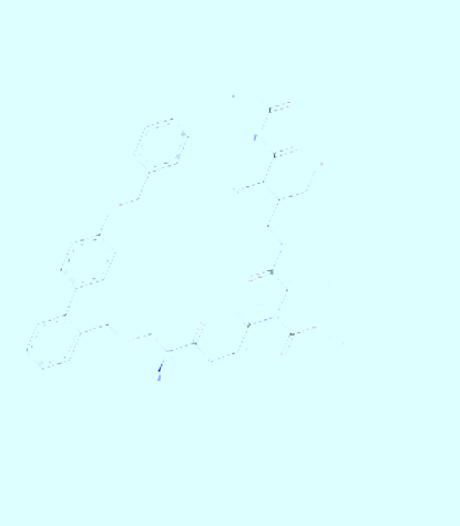 CCCCCC(=O)NC(=O)C(N)C(CO)CNC(=O)[C@H](C)N(C(=O)OC(C)(C)C)C(=O)[C@H](C)NC(=O)[C@@H](N)COCc1ccccc1-c1ccc(OCc2ccccc2)cc1